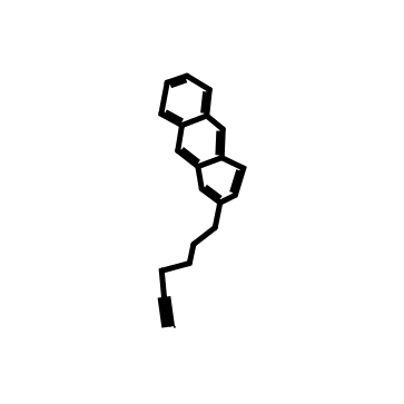 [C]#CCCCCc1ccc2cc3ccccc3cc2c1